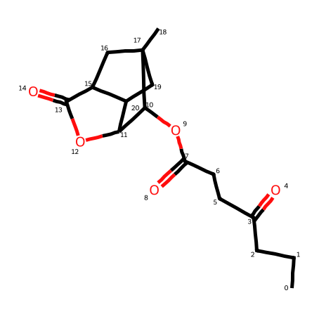 CCCC(=O)CCC(=O)OC1C2OC(=O)C3CC1(C)CC32